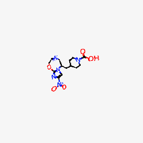 O=C(O)N1CCC(CC2C/N=C\COc3nc([N+](=O)[O-])cn32)CC1